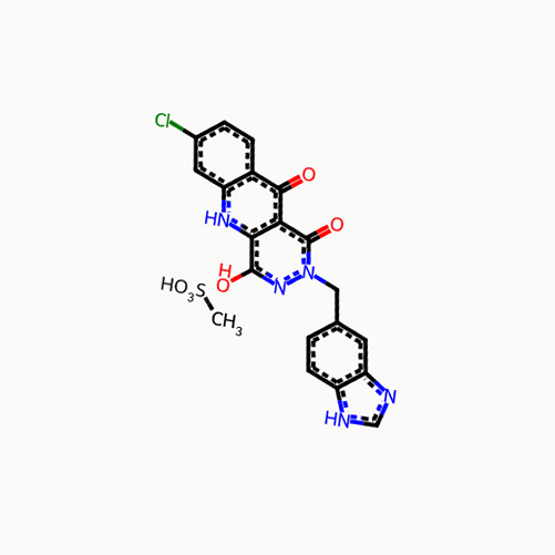 CS(=O)(=O)O.O=c1c2ccc(Cl)cc2[nH]c2c(O)nn(Cc3ccc4[nH]cnc4c3)c(=O)c12